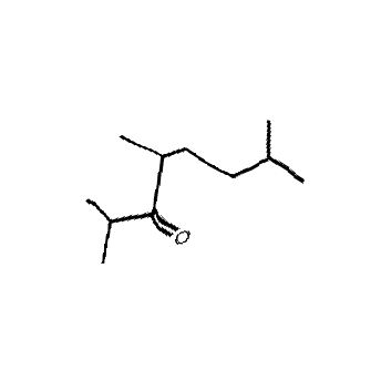 CC(C)CCC(C)C(=O)C(C)C